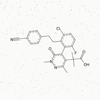 Cc1nn(C)c(=O)c(-c2c(F)ccc(Cl)c2CCc2ccc(C#N)cc2)c1C(C)(C)C(=O)O